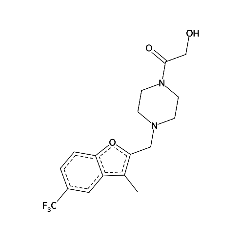 Cc1c(CN2CCN(C(=O)CO)CC2)oc2ccc(C(F)(F)F)cc12